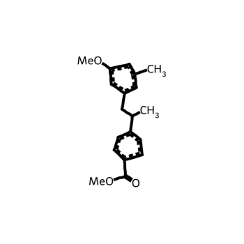 COC(=O)c1ccc(C(C)Cc2cc(C)cc(OC)c2)cc1